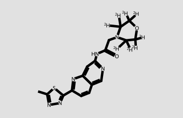 [2H]C1([2H])OC([2H])([2H])C([2H])([2H])N(CC(=O)Nc2cc3nc(-c4nnc(C)s4)ccc3cn2)C1([2H])[2H]